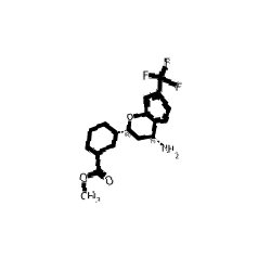 COC(=O)C1CCCC([C@H]2C[C@@H](N)c3ccc(C(F)(F)F)cc3O2)C1